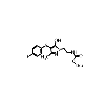 Cc1nn(CCNC(=O)OC(C)(C)C)c(O)c1Sc1ccc(F)cc1